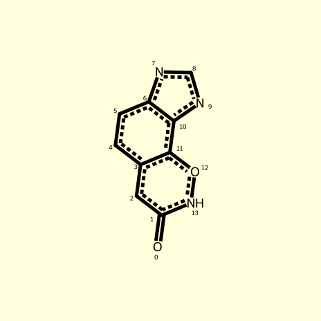 O=c1cc2ccc3ncnc3c2o[nH]1